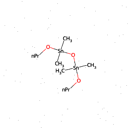 CCC[O][Sn]([CH3])([CH3])[O][Sn]([CH3])([CH3])[O]CCC